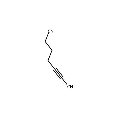 N#CC#CCCCC#N